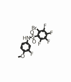 COc1ccc(NS(=O)(=O)c2c(F)c(F)c(F)c(F)c2Br)cc1F